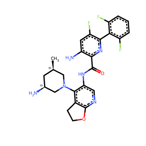 C[C@@H]1C[C@H](N)CN(c2c(NC(=O)c3nc(-c4c(F)cccc4F)c(F)cc3N)cnc3c2CCO3)C1